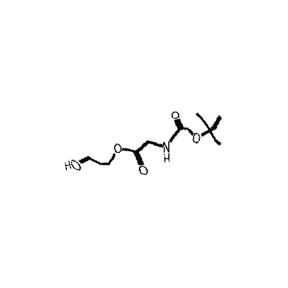 CC(C)(C)OC(=O)NCC(=O)OCCO